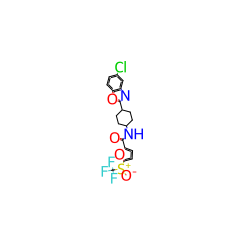 O=C(NC1CCC(c2nc3cc(Cl)ccc3o2)CC1)c1ccc([S+]([O-])C(F)(F)F)o1